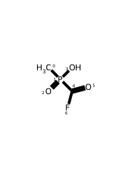 CP(=O)(O)C(=O)F